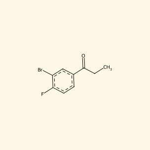 CCC(=O)c1ccc(F)c(Br)c1